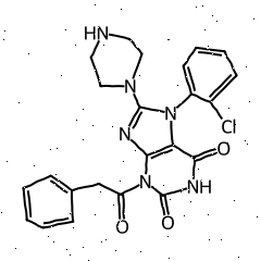 O=C(Cc1ccccc1)n1c(=O)[nH]c(=O)c2c1nc(N1CCNCC1)n2-c1ccccc1Cl